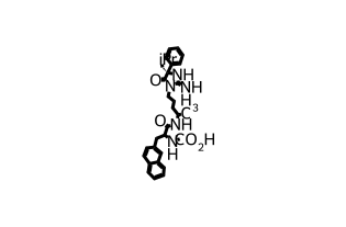 CC(C)C[C@]1(c2ccccc2)NC(=N)N(CCCC(C)NC(=O)C(Cc2ccc3ccccc3c2)NC(=O)O)C1=O